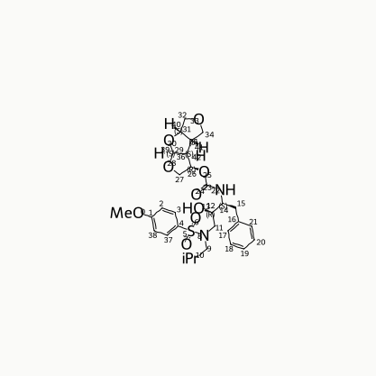 COc1ccc(S(=O)(=O)N(CC(C)C)C[C@@H](O)[C@H](Cc2ccccc2)NC(=O)O[C@H]2CO[C@H]3O[C@@H]4COC[C@@H]4[C@H]32)cc1